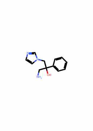 NCC(O)(Cn1ccnc1)c1ccccc1